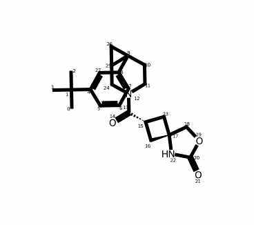 CC(C)(C)c1cccc(C23CCN(C(=O)[C@H]4C[C@]5(COC(=O)N5)C4)CC2C3)c1